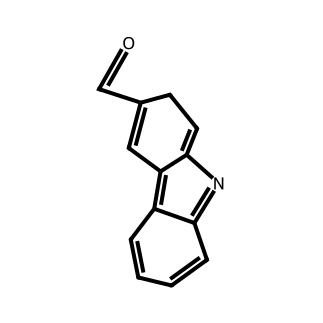 O=CC1=CC2=c3ccccc3=NC2=CC1